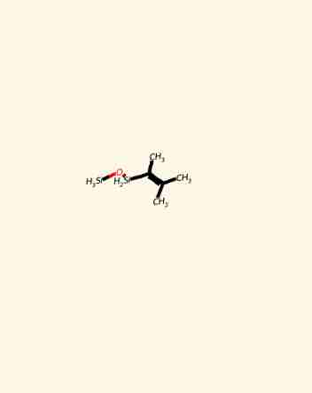 CC(C)=C(C)[SiH2]O[SiH3]